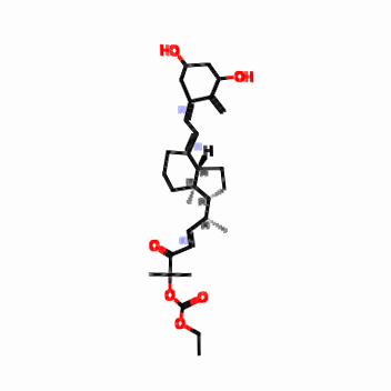 C=C1/C(=C\C=C2/CCC[C@]3(C)[C@@H]([C@H](C)/C=C/C(=O)C(C)(C)OC(=O)OCC)CC[C@@H]23)CC(O)CC1O